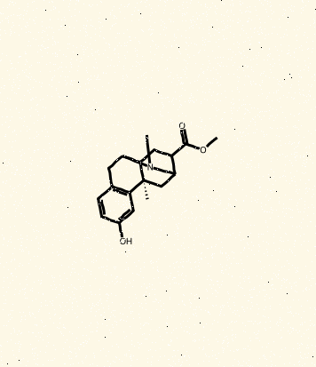 COC(=O)C1CC2C3Cc4ccc(O)cc4[C@]2(C)CC1N3C